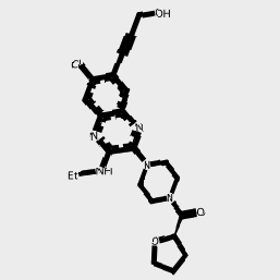 CCNc1nc2cc(Cl)c(C#CCO)cc2nc1N1CCN(C(=O)[C@H]2CCCO2)CC1